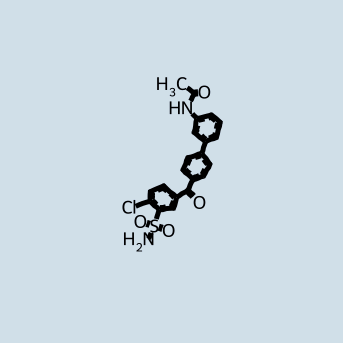 CC(=O)Nc1cccc(-c2ccc(C(=O)c3ccc(Cl)c(S(N)(=O)=O)c3)cc2)c1